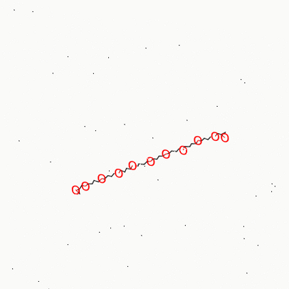 C(CCOCCCCOCCCCOCCCCOCC1CO1)COCCCCOCCCCOCCCCOCCCCOCC1CO1